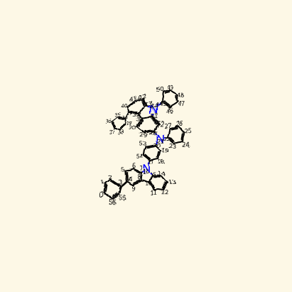 c1ccc(-c2ccc3c(c2)c2ccccc2n3-c2ccc(N(c3ccccc3)c3ccc4c5c(-c6ccccc6)cccc5n(-c5ccccc5)c4c3)cc2)cc1